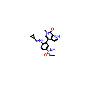 CCS(=N)(=O)c1ccc(NCC2CC2)c(-c2cn(C)c(=O)c3[nH]ccc23)c1